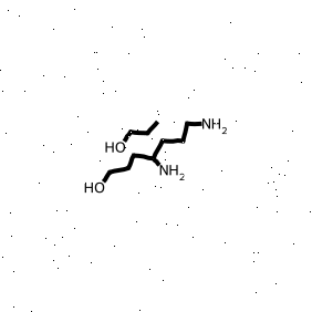 CCCO.NCCCC(N)CCCO